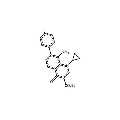 CCOC(=O)c1cn(C2CC2)c2c(C)c(-c3ccncc3)ccc2c1=O